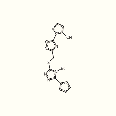 CCn1c(SCc2noc(-c3sccc3C#N)n2)nnc1-c1cccs1